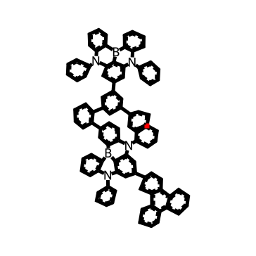 c1ccc(-c2cc(-c3cc4c5c(c3)N(c3ccccc3)c3ccccc3B5c3ccccc3N4c3ccccc3)cc(-c3ccccc3-c3ccc4c(c3)B3c5ccccc5N(c5ccccc5)c5cc(-c6ccc7c8ccccc8c8ccccc8c7c6)cc(c53)N4c3ccccc3)c2)cc1